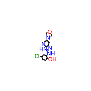 Oc1ccc(Cl)cc1Nc1nc2cc(N3CCOCC3)cnc2[nH]1